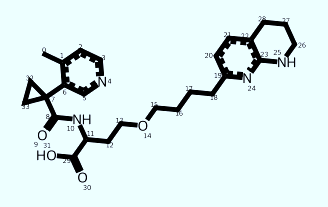 Cc1ccncc1C1(C(=O)NC(CCOCCCCc2ccc3c(n2)NCCC3)C(=O)O)CC1